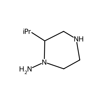 CC(C)C1CNCCN1N